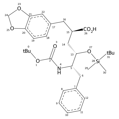 CC(C)(C)OC(=O)N[C@@H](Cc1ccccc1)[C@H](C[C@@H](Cc1ccc2c(c1)OCO2)C(=O)O)O[Si](C)(C)C(C)(C)C